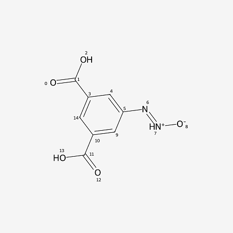 O=C(O)c1cc(N=[NH+][O-])cc(C(=O)O)c1